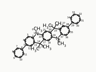 CN1c2ccc(-c3ccccc3)cc2C(C)(C)c2cc3c(cc21)C(C)(C)c1cc(-c2ccccc2)ccc1N3C